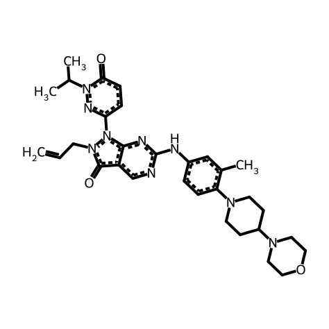 C=CCn1c(=O)c2cnc(Nc3ccc(N4CCC(N5CCOCC5)CC4)c(C)c3)nc2n1-c1ccc(=O)n(C(C)C)n1